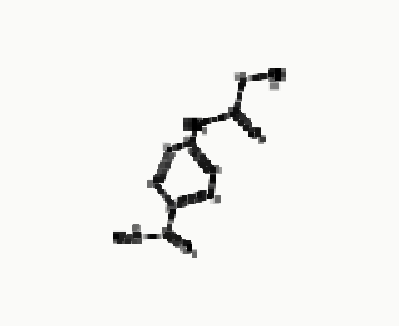 COC(=O)c1ccc(NC(=O)CS)cc1